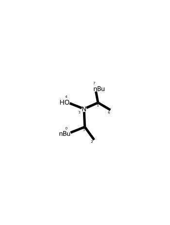 CCCCC(C)N(O)C(C)CCCC